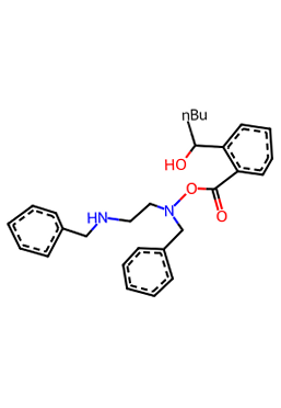 CCCCC(O)c1ccccc1C(=O)ON(CCNCc1ccccc1)Cc1ccccc1